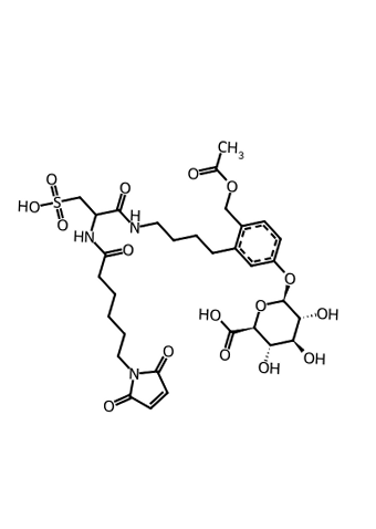 CC(=O)OCc1ccc(O[C@@H]2O[C@H](C(=O)O)[C@@H](O)[C@H](O)[C@H]2O)cc1CCCCNC(=O)C(CS(=O)(=O)O)NC(=O)CCCCCN1C(=O)C=CC1=O